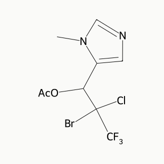 CC(=O)OC(c1cncn1C)C(Cl)(Br)C(F)(F)F